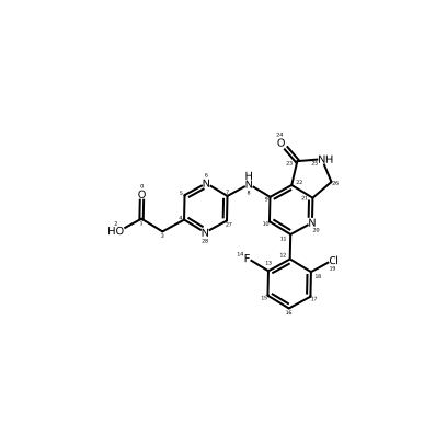 O=C(O)Cc1cnc(Nc2cc(-c3c(F)cccc3Cl)nc3c2C(=O)NC3)cn1